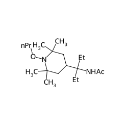 CCCON1C(C)(C)CC(C(CC)(CC)NC(C)=O)CC1(C)C